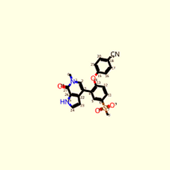 Cn1cc(-c2cc(S(C)(=O)=O)ccc2Oc2ccc(C#N)cc2)c2cc[nH]c2c1=O